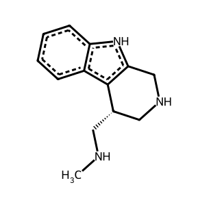 CNC[C@H]1CNCc2[nH]c3ccccc3c21